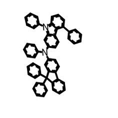 c1ccc(-c2cccc3c2c2ccc(N(c4ccccc4)c4ccc5c(c4)C(c4ccccc4)(c4ccccc4)c4ccccc4-5)cc2n3-c2ccccc2)cc1